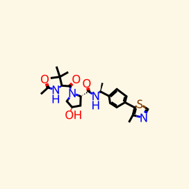 CC(=O)N[C@H](C(=O)N1C[C@@H](O)C[C@H]1C(=O)N[C@@H](C)c1ccc(-c2scnc2C)cc1)C(C)(C)C